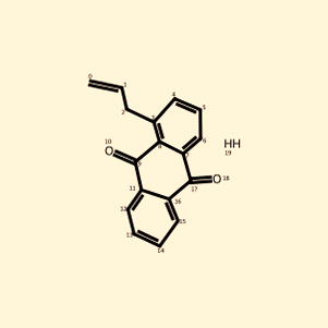 C=CCc1cccc2c1C(=O)c1ccccc1C2=O.[HH]